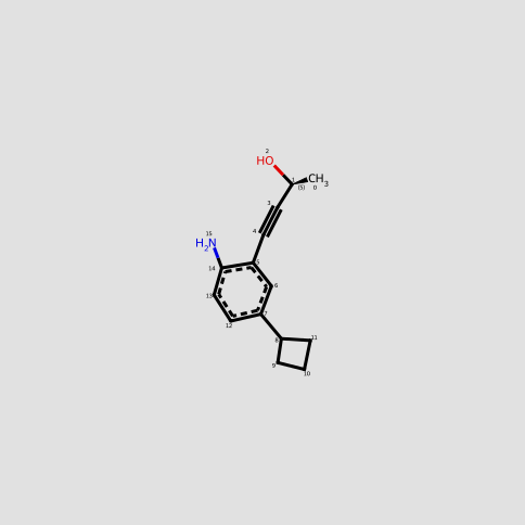 C[C@H](O)C#Cc1cc(C2CCC2)ccc1N